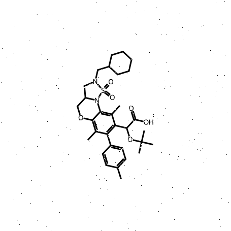 Cc1ccc(-c2c(C)c3c(c(C)c2C(OC(C)(C)C)C(=O)O)N2C(CO3)CN(CC3CCCCC3)S2(=O)=O)cc1